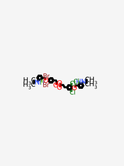 CC(C)Nc1cccc(COc2c(Br)cc(CC(=O)OC(=O)CCc3cc(Cl)c(OCc4cccc(NC(C)C)c4Cl)c(Cl)c3)cc2Br)c1F